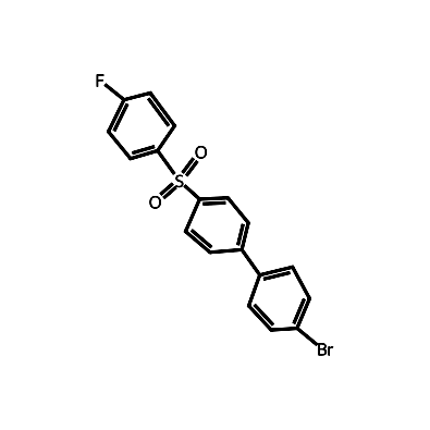 O=S(=O)(c1ccc(F)cc1)c1ccc(-c2ccc(Br)cc2)cc1